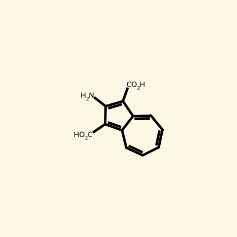 Nc1c(C(=O)O)c2cccccc-2c1C(=O)O